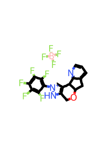 F[B-](F)(F)F.Fc1c(F)c(F)c(-[n+]2cc3c([nH]2)COC2Cc4cccnc4C32)c(F)c1F